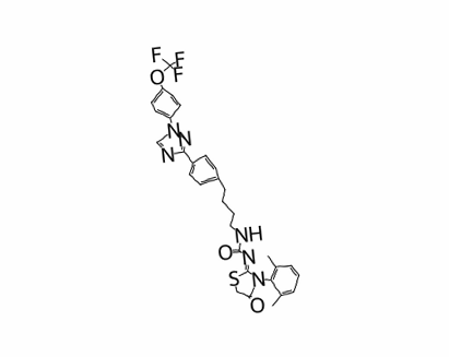 Cc1cccc(C)c1N1C(=O)CSC1=NC(=O)NCCCCc1ccc(-c2ncn(-c3ccc(OC(F)(F)F)cc3)n2)cc1